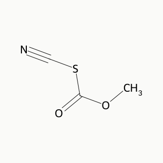 COC(=O)SC#N